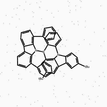 CC(C)(C)c1ccc2c(c1)c1cc(C(C)(C)C)cc3c1n2-c1ccccc1B3n1c2c(-c3ccccc3)cccc2c2cccc(-c3ccccc3)c21